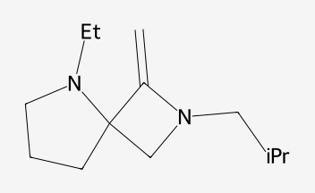 C=C1N(CC(C)C)CC12CCCN2CC